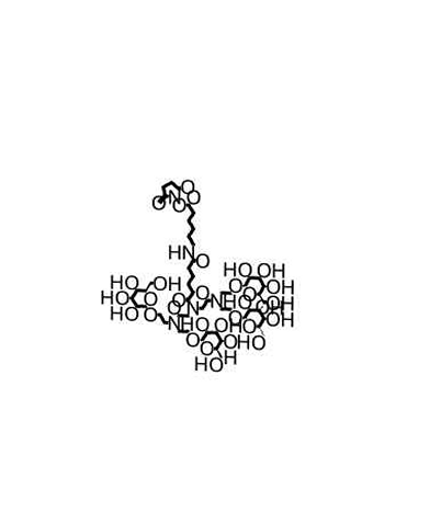 O=C(CCCCC(=O)N(CC(=O)N(CCO[C@H]1O[C@H](CO)[C@@H](O)[C@H](O)[C@@H]1O)CCO[C@H]1O[C@H](CO)[C@@H](O)[C@H](O)[C@@H]1O)CC(=O)N(CCO[C@H]1O[C@H](CO)[C@@H](O)[C@H](O)[C@@H]1O)CCO[C@@H]1O[C@@H](CO)[C@H](O)[C@@H](O)[C@H]1O)NCCCCCC(=O)ON1C(=O)CCC1=O